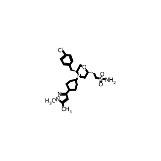 Cc1cc(C2CCC(N3C[C@@H](CCS(N)(=O)=O)OC[C@@H]3Cc3ccc(Cl)cc3)CC2)nn1C